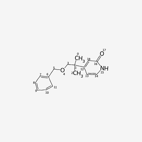 CC(C)(COCc1ccccc1)c1cc[nH]c(=O)c1